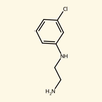 NCCNc1c[c]cc(Cl)c1